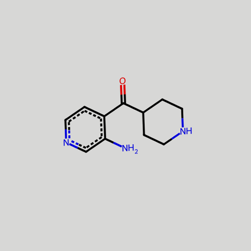 Nc1cnccc1C(=O)C1CCNCC1